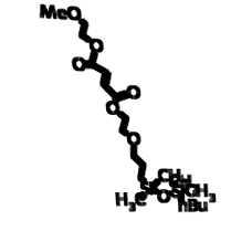 CCCC[Si](C)(C)O[Si](C)(C)CCCOCCOC(=O)/C=C/C(=O)OCCOC